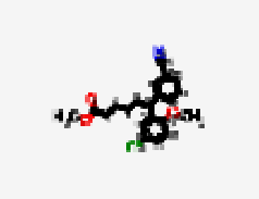 COC(=O)CCCC=C(c1cccc(C#N)c1)c1cc(Cl)ccc1OC